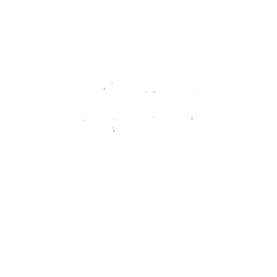 CCCC(O)c1ccc([C@@H]2[C@@H](C/C=C\CCCC(=O)OCC)[C@@H](Cl)C[C@H]2O)cc1